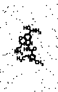 CCn1nc(C)cc1C(=O)Nc1nc2cc(C(N)O)cc3c2n1[C@@H](CCN)CO3